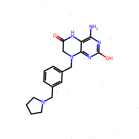 Nc1nc(O)nc2c1NC(=O)CN2Cc1cccc(CN2CCCC2)c1